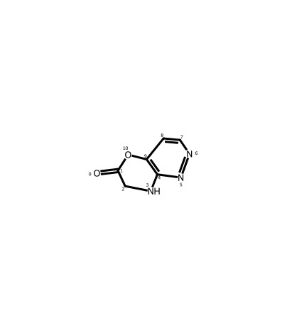 O=C1CNc2nnccc2O1